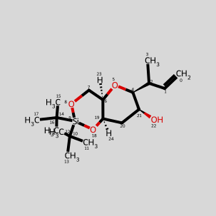 C=CC(C)[C@@H]1O[C@@H]2CO[Si](C(C)(C)C)(C(C)(C)C)O[C@@H]2C[C@@H]1O